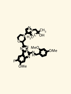 COc1ccc(CNc2nc3cc(OC)c(F)cc3c3nc(C4CN(c5cnn(CC(C)(C)O)c5C)CCO4)nn23)c(OC)c1